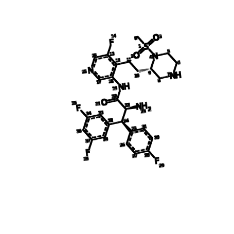 CS(=O)(=O)N1CCNC[C@@H]1CCc1c(F)cncc1NC(=O)[C@@H](N)[C@@H](c1ccc(F)cc1)c1cc(F)cc(F)c1